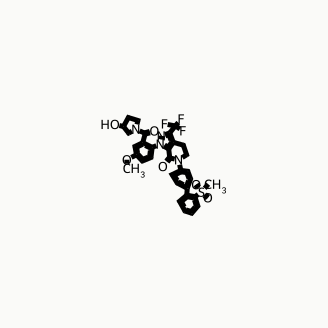 COc1ccc(-n2nc(C(F)(F)F)c3c2C(=O)N(c2ccc(-c4ccccc4S(C)(=O)=O)cc2)CC3)c(C(=O)N2CCC(O)C2)c1